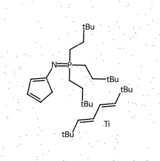 CC(C)(C)C=CC=CC(C)(C)C.CC(C)(C)CCP(CCC(C)(C)C)(CCC(C)(C)C)=NC1=CC=CC1.[Ti]